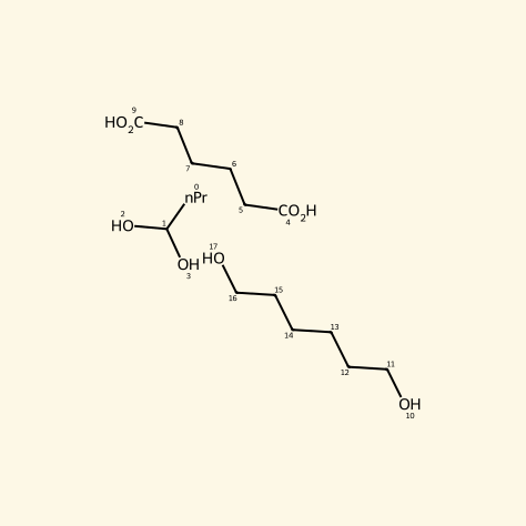 CCCC(O)O.O=C(O)CCCCC(=O)O.OCCCCCCO